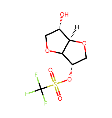 O=S(=O)(O[C@H]1CO[C@H]2C1OC[C@@H]2O)C(F)(F)F